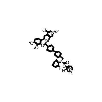 COc1ccc(C(Cc2c(Cl)c[n+]([O-])cc2Cl)OC(=O)c2ccc(-c3ccc(CN(C(=O)O[C@H]4CN5CCC4CC5)c4ccccc4F)cc3)cc2)cc1OC